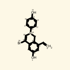 C=Cc1cc(O)cc2c1CN(c1ccc(O)cc1)C=C2Br